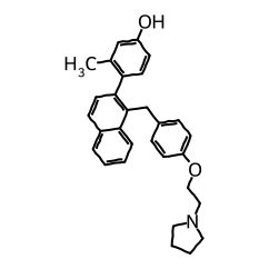 Cc1cc(O)ccc1-c1ccc2ccccc2c1Cc1ccc(OCCN2CCCC2)cc1